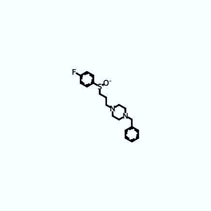 [O-][S+](CCCN1CCN(Cc2ccccc2)CC1)c1ccc(F)cc1